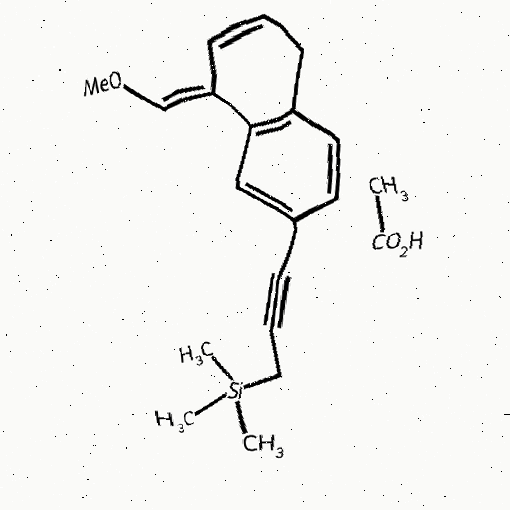 CC(=O)O.COC=C1C=CCc2ccc(C#CC[Si](C)(C)C)cc21